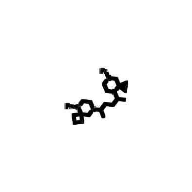 CC(C)N1CCN(C(C)CCC(C)N2CCN(C(C)C)C3(CCC3)C2)C2(CC2)C1